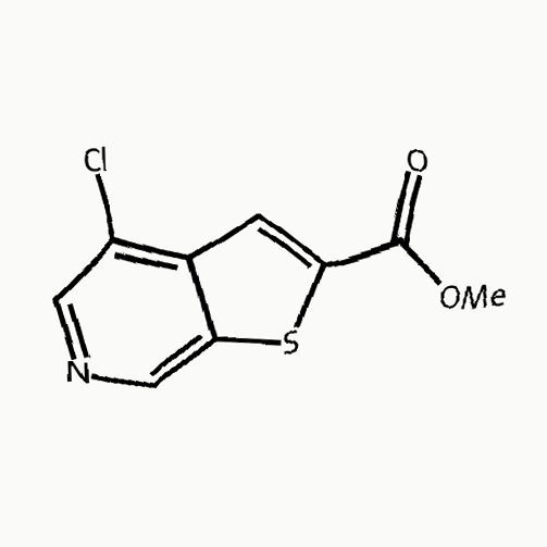 COC(=O)c1cc2c(Cl)cncc2s1